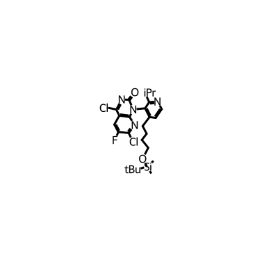 CC(C)c1nccc(CCCCO[Si](C)(C)C(C)(C)C)c1-n1c(=O)nc(Cl)c2cc(F)c(Cl)nc21